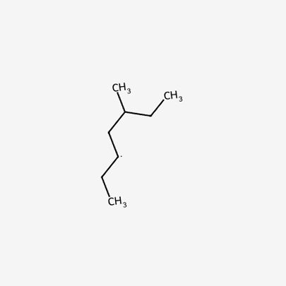 CC[CH]CC(C)CC